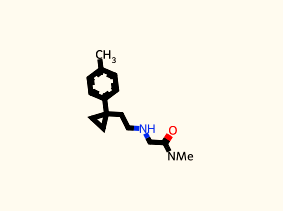 CNC(=O)CNCCC1(c2ccc(C)cc2)CC1